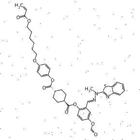 C=CC(=O)OCCCCCCOc1ccc(OC(=O)[C@H]2CC[C@H](C(=O)Oc3ccc(OC=O)cc3/C=N/N(C)c3nc4ccccc4s3)CC2)cc1